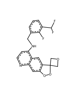 Fc1c(CNc2ccnc3cc4c(cc23)C2(COC2)OO4)cccc1C(F)F